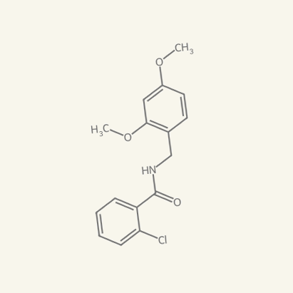 COc1ccc(CNC(=O)c2ccccc2Cl)c(OC)c1